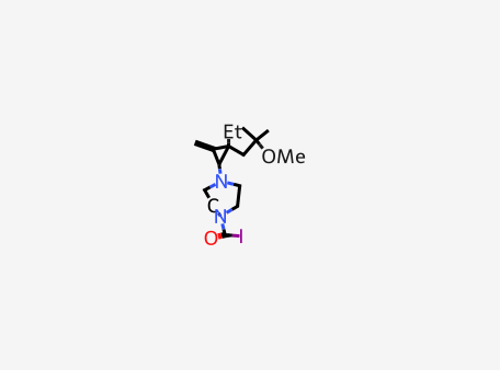 C=C1C(N2CCN(C(=O)I)CC2)C1(CC)CC(C)(C)OC